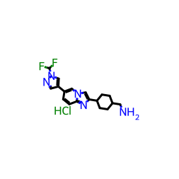 Cl.NCC1CCC(c2cn3cc(-c4cnn(C(F)F)c4)ccc3n2)CC1